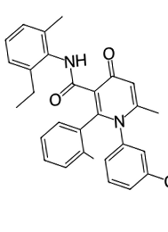 CCc1cccc(C)c1NC(=O)c1c(-c2ccccc2C)n(-c2cccc(Cl)c2)c(C)cc1=O